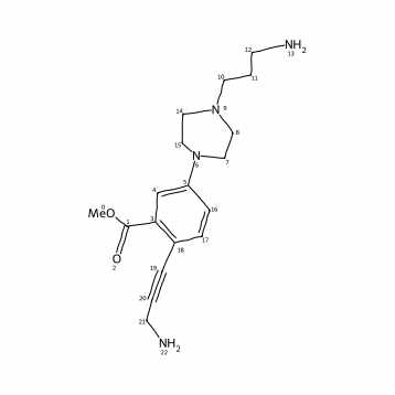 COC(=O)c1cc(N2CCN(CCCN)CC2)ccc1C#CCN